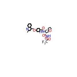 Cc1cc(COc2ccc(C(=O)N[C@@H]3C[C@@]4(CCCO4)C[C@@H]3C(=O)NOC(=O)C(F)(F)F)cc2)c2ccccc2n1